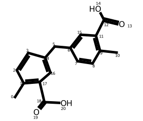 Cc1ccc(Cc2ccc(C)c(C(=O)O)c2)cc1C(=O)O